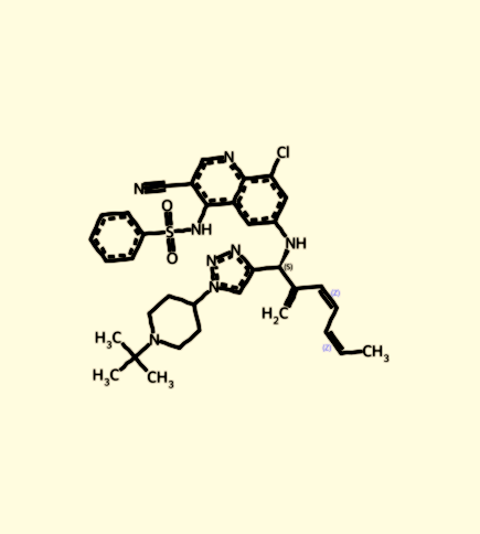 C=C(/C=C\C=C/C)[C@H](Nc1cc(Cl)c2ncc(C#N)c(NS(=O)(=O)c3ccccc3)c2c1)c1cn(C2CCN(C(C)(C)C)CC2)nn1